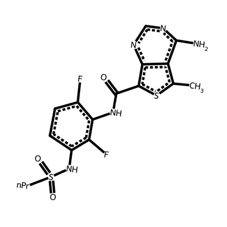 CCCS(=O)(=O)Nc1ccc(F)c(NC(=O)c2sc(C)c3c(N)ncnc23)c1F